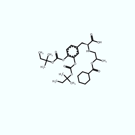 CCC(C)(C)OC(=O)Oc1ccc(C[C@H](NCC(C)OC(=O)C2CCCCC2)C(=O)O)cc1OC(=O)OC(C)(C)CC